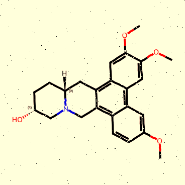 COc1ccc2c3c(c4cc(OC)c(OC)cc4c2c1)C[C@H]1CC[C@@H](O)CN1C3